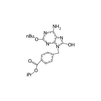 CCCCOc1nc(N)c2nc(O)n(Cc3ccc(C(=O)OC(C)C)cc3)c2n1